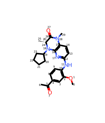 COc1cc(C(C)=O)ccc1Nc1ccc2c(n1)N(C1CCCC1)[C@H](C)C(=O)N2C